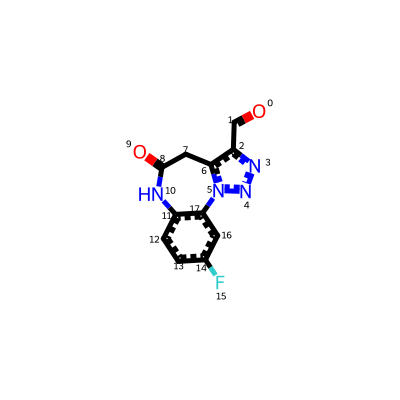 O=Cc1nnn2c1CC(=O)Nc1ccc(F)cc1-2